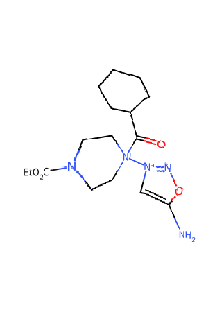 CCOC(=O)N1CC[N+](C(=O)C2CCCCC2)([n+]2cc(N)on2)CC1